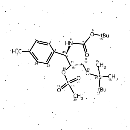 Cc1ccc([C@@H](NC(=O)OC(C)(C)C)[C@H](CO[Si](C)(C)C(C)(C)C)OS(C)(=O)=O)cc1